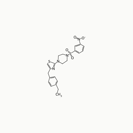 CCc1ccc(Cc2csc(N3CCN(S(=O)(=O)c4cccc([N+](=O)[O-])c4)CC3)n2)cc1